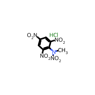 CN(c1c([N+](=O)[O-])cc([N+](=O)[O-])cc1[N+](=O)[O-])[N+](=O)[O-].Cl